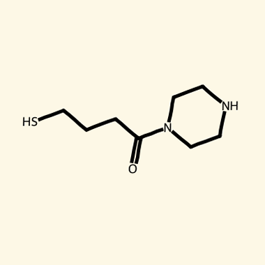 O=C(CCCS)N1CCNCC1